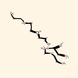 C=CC(=O)O.CCOCC.OCCOCCOCCO